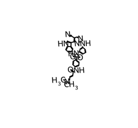 CN(C)C/C=C/C(=O)Nc1ccc(S(=O)(=O)Nc2cccc(Nc3ncc(C#N)c(-c4c[nH]c5ccccc45)n3)c2)cc1